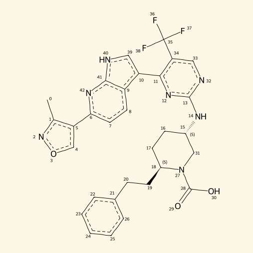 Cc1nocc1-c1ccc2c(-c3nc(N[C@H]4CC[C@H](CCc5ccccc5)N(C(=O)O)C4)ncc3C(F)(F)F)c[nH]c2n1